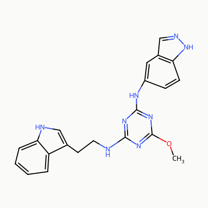 COc1nc(NCCc2c[nH]c3ccccc23)nc(Nc2ccc3[nH]ncc3c2)n1